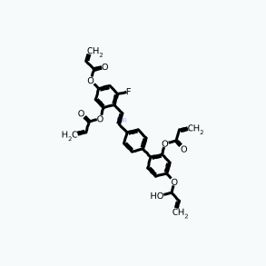 C=CC(=O)Oc1cc(F)c(/C=C/c2ccc(-c3ccc(OC(O)C=C)cc3OC(=O)C=C)cc2)c(OC(=O)C=C)c1